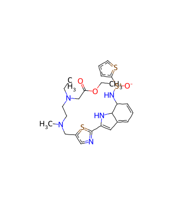 CCOC(=O)CN(CC)CCN(C)Cc1cnc(C2=CC3=CC=CC(N[S+]([O-])c4cccs4)C3N2)s1